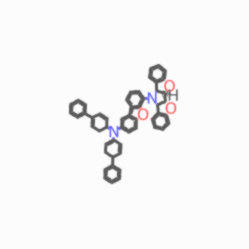 C1=CC(N(C2=CCC(c3ccccc3)C=C2)c2ccc3oc4c(N5C6c7ccccc7OC6[C@@H]6Oc7ccccc7C65)cccc4c3c2)CC=C1c1ccccc1